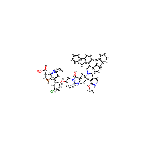 COc1cc(CN(CC(c2cccc3c2Cc2ccccc2-3)c2cccc3c2Cc2ccccc2-3)C2CCc3nc(C)n(CCOc4ccc(Cl)cc4-c4cc(C)nc5c(C(=O)O)csc45)c(=O)c3C2)ccn1